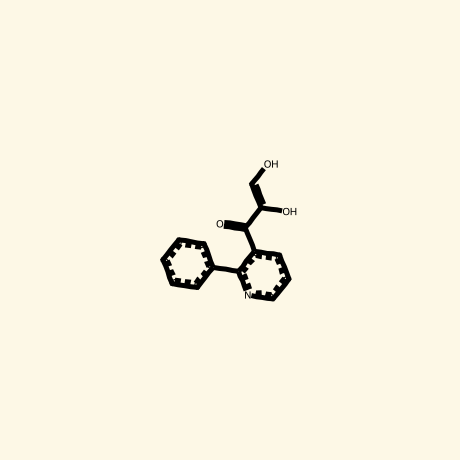 O=C(C(O)=CO)c1cccnc1-c1ccccc1